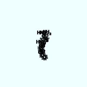 N=C(N)NCCC[C@H](NC(=O)CN1CCN(S(=O)(=O)c2ccc3ccccc3c2)CC1=O)C(=O)c1nccs1